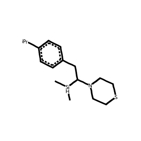 CC(C)c1ccc(CC(N2CCSCC2)[SiH](C)C)cc1